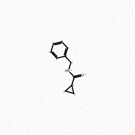 O=C(NCc1cc[c]cc1)C1CC1